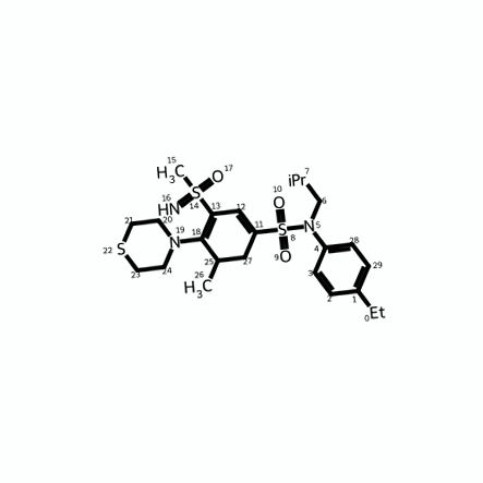 CCc1ccc(N(CC(C)C)S(=O)(=O)C2=CC(S(C)(=N)=O)=C(N3CCSCC3)C(C)C2)cc1